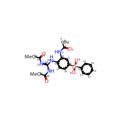 CCCCC(=O)Nc1cc(S(=O)(=O)c2ccccc2)ccc1NC(=NC(=O)OC)NC(=O)OC